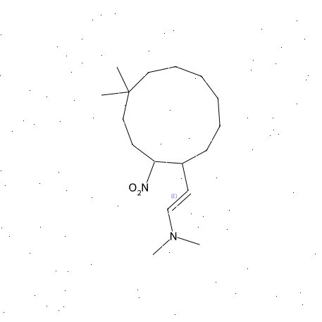 CN(C)/C=C/C1CCCCCCC(C)(C)CCC1[N+](=O)[O-]